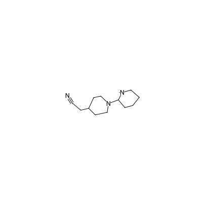 N#CCC1CCN(C2CCCC[N]2)CC1